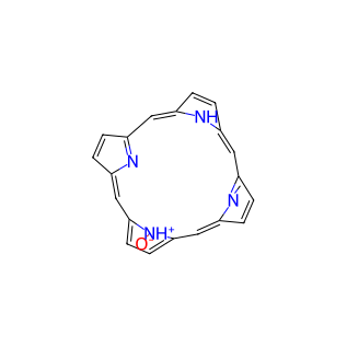 [O-][NH+]1C2=CC=C1C=C1C=CC(=N1)C=c1ccc([nH]1)=CC1=NC(=C2)C=C1